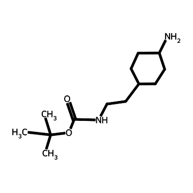 CC(C)(C)OC(=O)NCCC1CCC(N)CC1